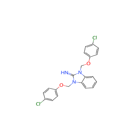 N=c1n(COc2ccc(Cl)cc2)c2ccccc2n1COc1ccc(Cl)cc1